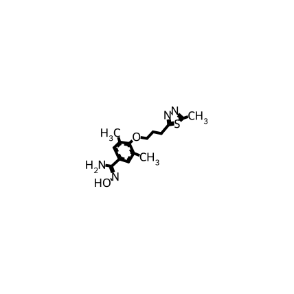 Cc1nnc(CCCOc2c(C)cc(C(N)=NO)cc2C)s1